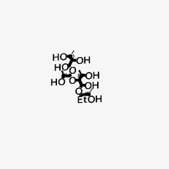 CCC(OC(O)C(OC(OC(O)C(O)[C@@H](C)O)[C@H](C)O)[C@@H](C)O)[C@H](C)O